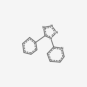 c1ccc(-c2nnnn2-c2ccccn2)cc1